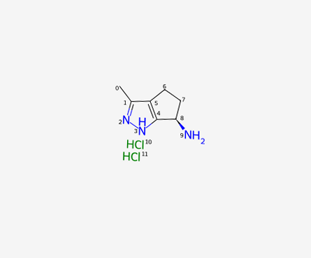 Cc1n[nH]c2c1CC[C@H]2N.Cl.Cl